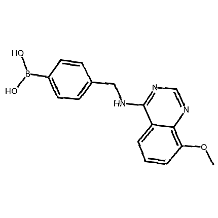 COc1cccc2c(NCc3ccc(B(O)O)cc3)ncnc12